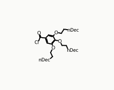 CCCCCCCCCCCCOc1cc(C(=O)Cl)cc(OCCCCCCCCCCCC)c1OCCCCCCCCCCCC